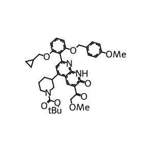 COCC(=O)c1cc2c(C3CCCN(C(=O)OC(C)(C)C)C3)cc(-c3c(OCc4ccc(OC)cc4)cccc3OCC3CC3)nc2[nH]c1=O